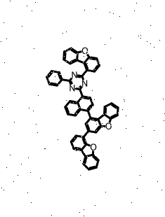 c1ccc(-c2nc(-c3ccc(-c4cc(-c5cccc6c5oc5ccccc56)cc5oc6ccccc6c45)c4ccccc34)nc(-c3cccc4oc5ccccc5c34)n2)cc1